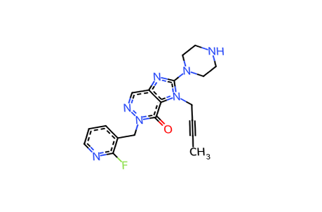 CC#CCn1c(N2CCNCC2)nc2cnn(Cc3cccnc3F)c(=O)c21